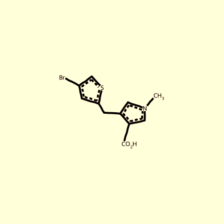 Cn1cc(Cc2cc(Br)cs2)c(C(=O)O)c1